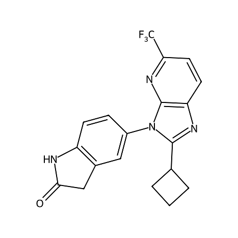 O=C1Cc2cc(-n3c(C4CCC4)nc4ccc(C(F)(F)F)nc43)ccc2N1